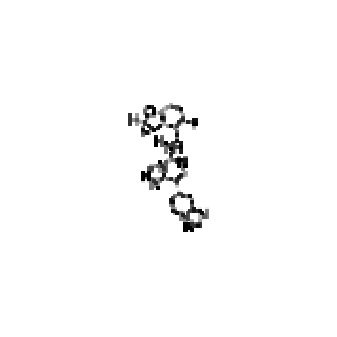 Fc1ccc2c(c1CNc1ncc(-c3ccn4ncnc4c3)c3nncn13)[C@H]1C[C@H]1O2